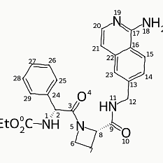 CCOC(=O)N[C@@H](C(=O)N1CC[C@H]1C(=O)NCc1ccc2c(N)nccc2c1)c1ccccc1